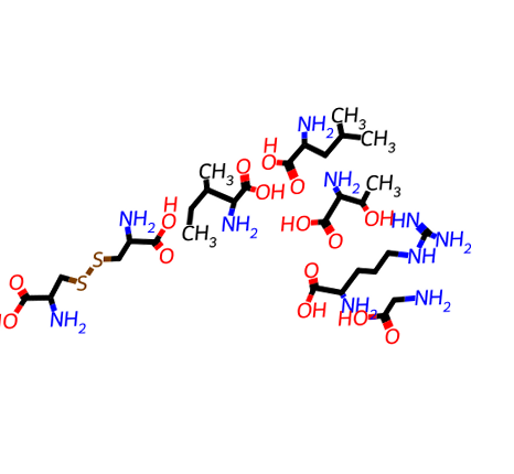 CC(C)CC(N)C(=O)O.CC(O)C(N)C(=O)O.CCC(C)C(N)C(=O)O.N=C(N)NCCCC(N)C(=O)O.NC(CSSCC(N)C(=O)O)C(=O)O.NCC(=O)O